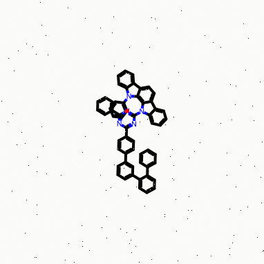 c1ccc(-c2nc(-c3ccc(-c4cccc(-c5ccccc5-c5ccccc5)c4)cc3)nc(-n3c4ccccc4c4ccc5c6ccccc6n(-c6ccccc6)c5c43)n2)cc1